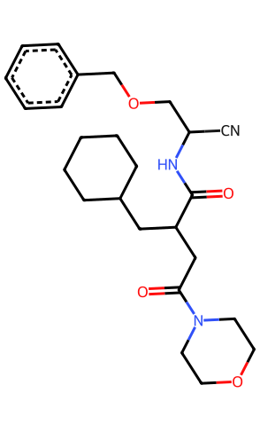 N#CC(COCc1ccccc1)NC(=O)C(CC(=O)N1CCOCC1)CC1CCCCC1